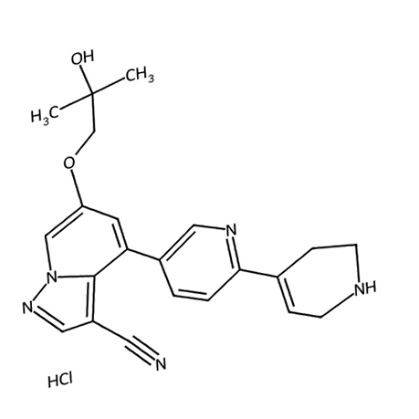 CC(C)(O)COc1cc(-c2ccc(C3=CCNCC3)nc2)c2c(C#N)cnn2c1.Cl